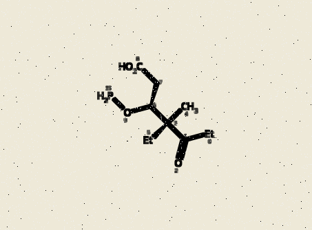 CCC(=O)[C@](C)(CC)[C@H](CC(=O)O)OP